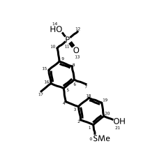 CSc1cc(Cc2c(C)cc(CP(C)(=O)O)cc2C)ccc1O